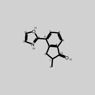 CC1Cc2c(cccc2-c2ncco2)C1=O